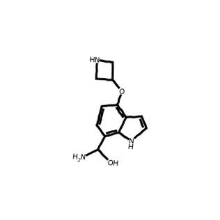 NC(O)c1ccc(OC2CNC2)c2cc[nH]c12